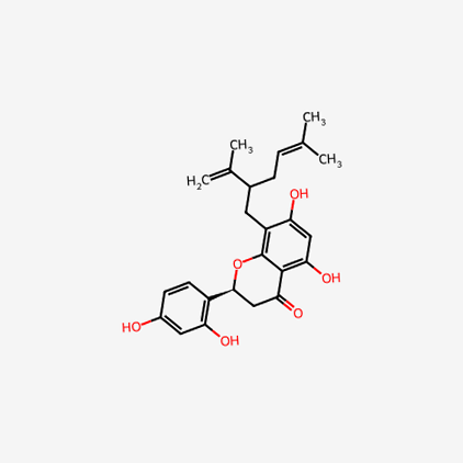 C=C(C)C(CC=C(C)C)Cc1c(O)cc(O)c2c1O[C@H](c1ccc(O)cc1O)CC2=O